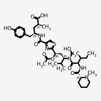 CCC(C)C(NC(=O)[C@H]1CCCCN1C)C(=O)N(CO)[C@H](C[C@@H](OC(C)=O)c1nc(C(=O)N[C@@H](Cc2ccc(O)cc2)C[C@H](C)C(=O)O)cs1)C(C)C